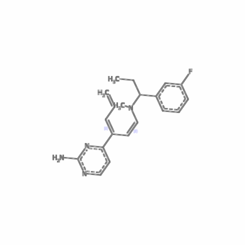 C=C/C=C(\C=C/N(C)C(CC)c1cccc(F)c1)c1ccnc(N)n1